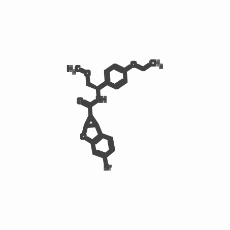 CCOc1ccc([C@H](COC)NC(=O)C2C3Oc4cc(Br)ccc4C32)cc1